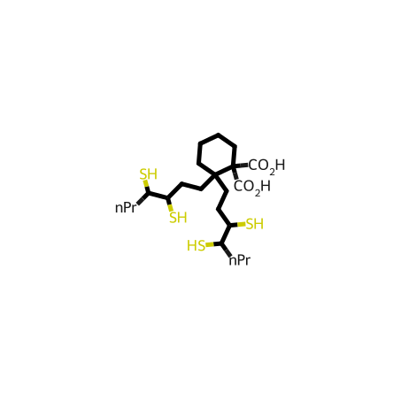 CCCC(S)C(S)CCC1(CCC(S)C(S)CCC)CCCCC1(C(=O)O)C(=O)O